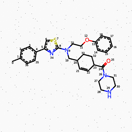 Cc1ccc(-c2csc(N(CCOc3ccccc3)CC3C=CC(C(=O)N4CCNCC4)CC3)n2)cc1